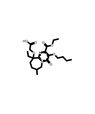 CCCCOc1c(C(=O)OCC)nc2n(c1=O)CC(C)CCC2(CC)OCC(=O)O